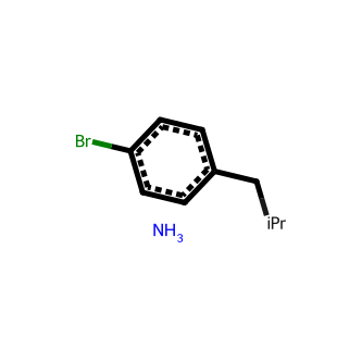 CC(C)Cc1ccc(Br)cc1.N